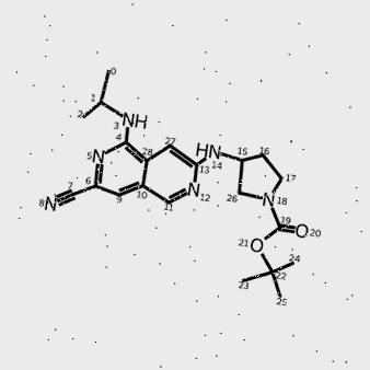 CC(C)Nc1nc(C#N)cc2cnc(NC3CCN(C(=O)OC(C)(C)C)C3)cc12